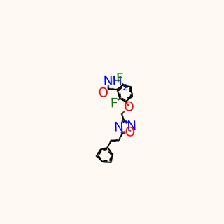 NC(=O)c1c(F)ccc(OCc2noc(C=Cc3ccccc3)n2)c1F